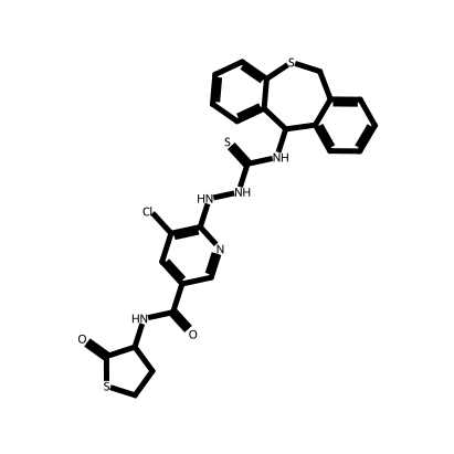 O=C(NC1CCSC1=O)c1cnc(NNC(=S)NC2c3ccccc3CSc3ccccc32)c(Cl)c1